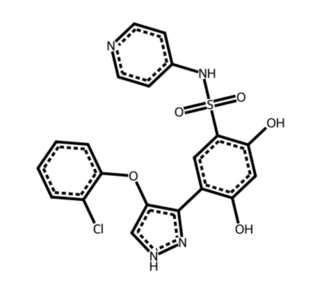 O=S(=O)(Nc1ccncc1)c1cc(-c2n[nH]cc2Oc2ccccc2Cl)c(O)cc1O